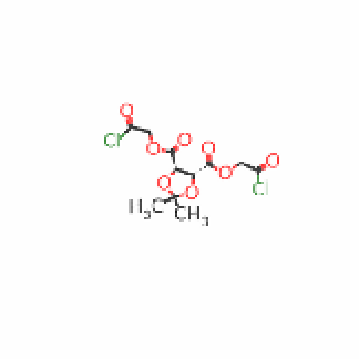 CC1(C)O[C@@H](C(=O)OCC(=O)Cl)[C@H](C(=O)OCC(=O)Cl)O1